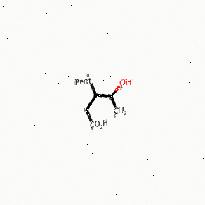 CCCC(C)C(CC(=O)O)C(C)O